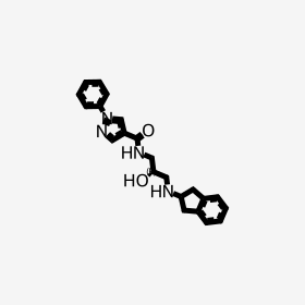 O=C(NC[C@H](O)CNC1Cc2ccccc2C1)c1cnn(-c2ccccc2)c1